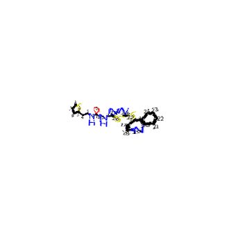 O=C(NCCc1cccs1)Nc1nnc(Sc2ccnc3ccccc23)s1